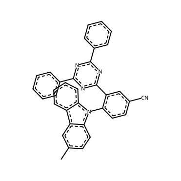 Cc1ccc2c(c1)c1ccccc1n2-c1ccc(C#N)cc1-c1nc(-c2ccccc2)nc(-c2ccccc2)n1